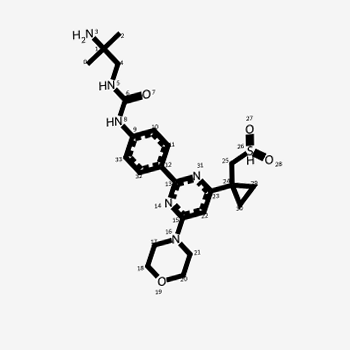 CC(C)(N)CNC(=O)Nc1ccc(-c2nc(N3CCOCC3)cc(C3(C[SH](=O)=O)CC3)n2)cc1